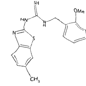 COc1ccccc1CNC(=N)Nc1nc2ccc(C)cc2s1